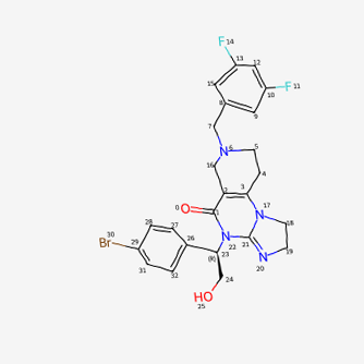 O=C1C2=C(CCN(Cc3cc(F)cc(F)c3)C2)N2CCN=C2N1[C@@H](CO)c1ccc(Br)cc1